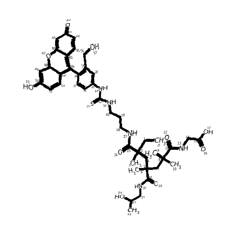 CCC(C)(CC(C)(CC(C)(C)C(=O)NCC(=O)O)C(=O)NCC(C)O)C(=O)NCCCNC(=S)Nc1ccc(C2=C3C=CC(=O)C=C3OC3C=C(O)C=CC23)c(CO)c1